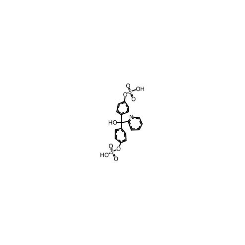 O=S(=O)(O)Oc1ccc(C(O)(c2ccc(OS(=O)(=O)O)cc2)c2ccccn2)cc1